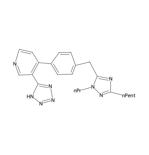 CCCCCc1nc(Cc2ccc(-c3ccncc3-c3nnn[nH]3)cc2)n(CCC)n1